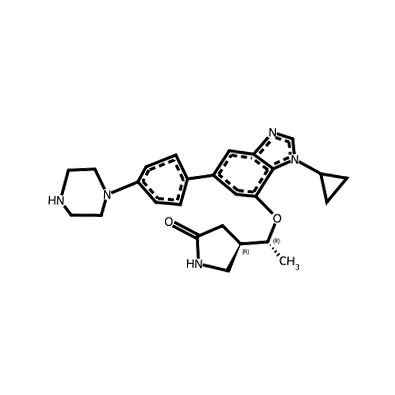 C[C@@H](Oc1cc(-c2ccc(N3CCNCC3)cc2)cc2ncn(C3CC3)c12)[C@H]1CNC(=O)C1